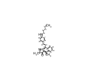 CCCCCNc1ccc(C=Cc2cc(C(=O)C(C)N)[n+](C)c3ccccc23)cc1